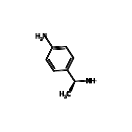 C[C@H]([NH])c1ccc(N)cc1